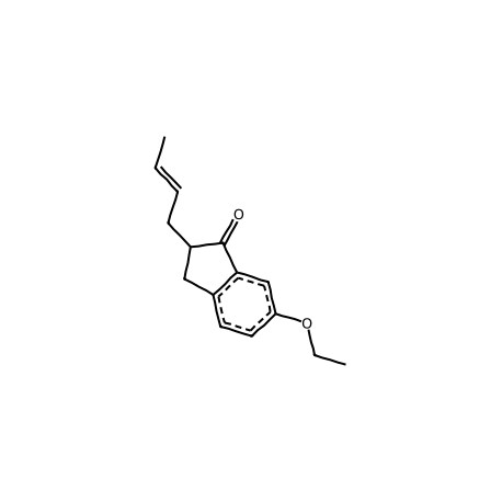 CC=CCC1Cc2ccc(OCC)cc2C1=O